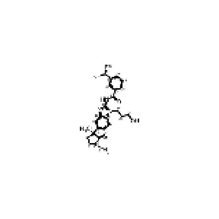 CN1CC[C@](C)(c2ccc3c(c2)nc(NC(=O)c2cccc(C(F)F)c2)n3CCCO)C1=O